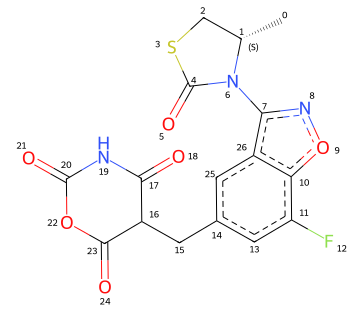 C[C@H]1CSC(=O)N1c1noc2c(F)cc(CC3C(=O)NC(=O)OC3=O)cc12